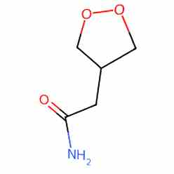 NC(=O)CC1COOC1